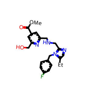 CCc1cnc(CNCc2cc(C(=O)OC)cc(CO)n2)n1Cc1ccc(F)cc1